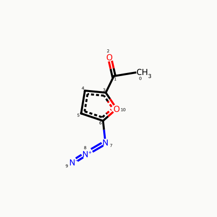 CC(=O)c1ccc(N=[N+]=[N-])o1